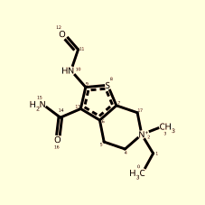 CC[N+]1(C)CCc2c(sc(NC=O)c2C(N)=O)C1